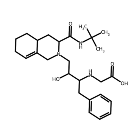 CC(C)(C)NC(=O)C1CC2CCCC=C2CN1CC(O)C(Cc1ccccc1)NCC(=O)O